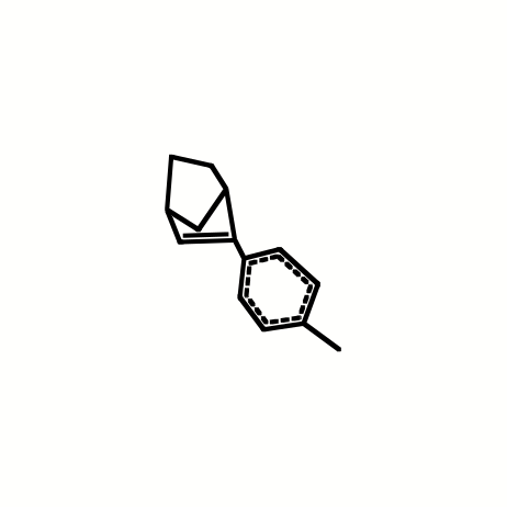 Cc1ccc(C2=CC3CCC2C3)cc1